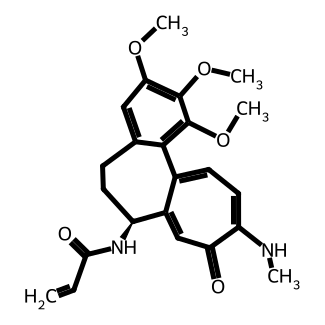 C=CC(=O)N[C@H]1CCc2cc(OC)c(OC)c(OC)c2-c2ccc(NC)c(=O)cc21